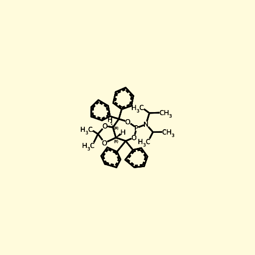 CC(C)N(C(C)C)P1OC(c2ccccc2)(c2ccccc2)[C@@H]2OC(C)(C)O[C@H]2C(c2ccccc2)(c2ccccc2)O1